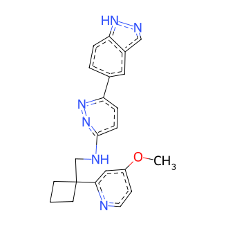 COc1ccnc(C2(CNc3ccc(-c4ccc5[nH]ncc5c4)nn3)CCC2)c1